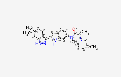 CC(C(=O)N(C)c1ccc2cc(-c3n[nH]c4c3CCC(C)(C)C4)[nH]c2c1)N1CCC[C@H](C)C1